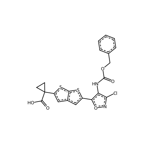 O=C(Nc1c(Cl)noc1-c1cc2cc(C3(C(=O)O)CC3)sc2s1)OCc1ccccc1